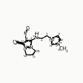 C[n+]1ccn(CCNc2c(N=O)c(=O)n3n2CCC3)c1